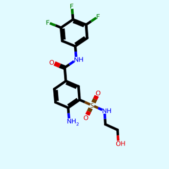 Nc1ccc(C(=O)Nc2cc(F)c(F)c(F)c2)cc1S(=O)(=O)NCCO